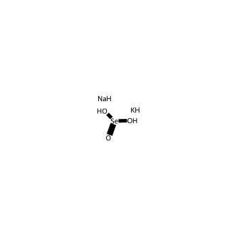 O=[Se](O)O.[KH].[NaH]